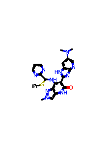 CC(C)SC(Nc1c(-c2nc3ncc(N(C)C)cc3[nH]2)c(=O)[nH]c2cn(C)nc12)c1ncccn1